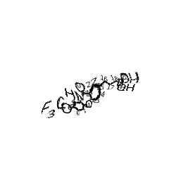 O=C1Nc2cc(OC(F)(F)F)ccc2Oc2ccc(CCCB(O)O)cc21